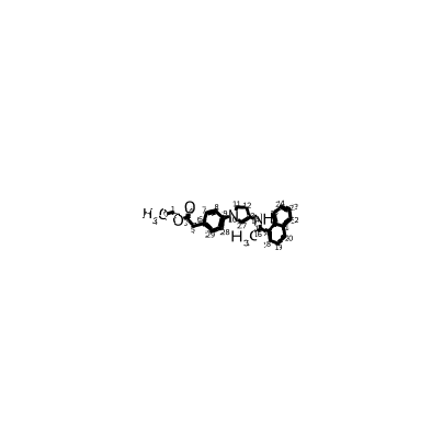 CCOC(=O)Cc1ccc(N2CCC(NC(C)c3cccc4ccccc34)C2)cc1